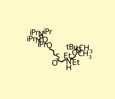 CCC(CC)(CO[Si](C)(C)C(C)(C)C)NCCC(=O)SCCCOCOP(N(C(C)C)C(C)C)N(C(C)C)C(C)C